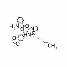 CCCCCCCC(=O)NC(CN1CCCC1)C(OC(=O)c1ccccc1N)c1ccc2c(c1)OCCO2